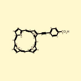 O=C(O)c1ccc(C#CC2=CC3=CC4=NC(=CC5=NC(=CC6=NC(=CC2=N3)C=C6)C=C5)C=C4)cc1